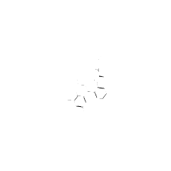 CCSNC(=O)Nc1ccccc1C1CN(C)Cc2c(Cl)cc(Cl)cc21